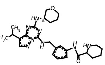 CC(C)c1cnn2c(NCc3cccc(NC(=O)C4CCCCN4)c3)nc(N[C@H]3CCCOC3)nc12